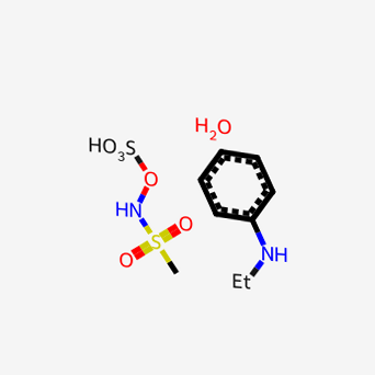 CCNc1ccccc1.CS(=O)(=O)NOS(=O)(=O)O.O